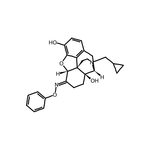 Oc1ccc2c3c1O[C@H]1/C(=N/Oc4ccccc4)CC[C@@]4(O)[C@@H](C2)N(CC2CC2)CC[C@]314